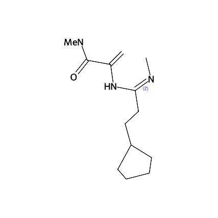 C=C(N/C(CCC1CCCC1)=N\C)C(=O)NC